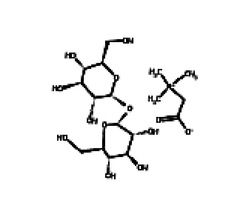 C[N+](C)(C)CC(=O)[O-].OC[C@H]1O[C@H](O[C@H]2O[C@H](CO)[C@@H](O)[C@H](O)[C@H]2O)[C@H](O)[C@@H](O)[C@@H]1O